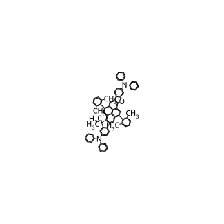 Cc1cccc(C)c1-c1cc2c3oc4cc(N(c5ccccc5)c5ccccc5)ccc4c3cc3c(-c4c(C)cccc4C)cc4c5c(cc1c4c32)-c1ccc(N(c2ccccc2)c2ccccc2)cc1C5(C)C